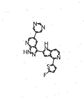 Fc1ccc(-c2nccc3[nH]c(-c4n[nH]c5ncc(-c6cncnc6)cc45)cc23)s1